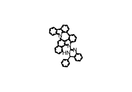 c1ccc(C2NC(n3c4cccc5c6cccc7c8ccccc8n(c8cc9ccccc9c3c8c54)c67)=Nc3ccccc32)cc1